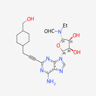 CCN(C=O)[C@H]1O[C@@H](n2cnc3c(N)nc(C#CCC4CCC(CO)CC4)nc32)[C@H](O)[C@@H]1O